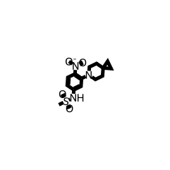 CS(=O)(=O)Nc1ccc([N+](=O)[O-])c(N2CCC3(CC2)CC3)c1